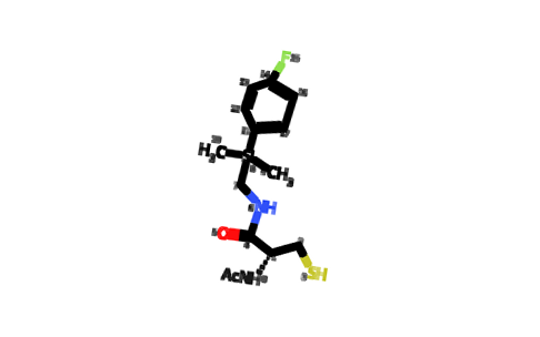 CC(=O)N[C@@H](CS)C(=O)NC[Si](C)(C)c1ccc(F)cc1